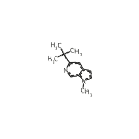 Cn1ccc2cc(C(C)(C)C)ncc21